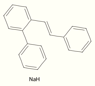 C(=Cc1ccccc1-c1ccccc1)c1ccccc1.[NaH]